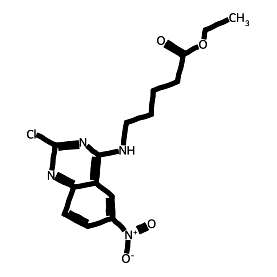 CCOC(=O)CCCCNc1nc(Cl)nc2ccc([N+](=O)[O-])cc12